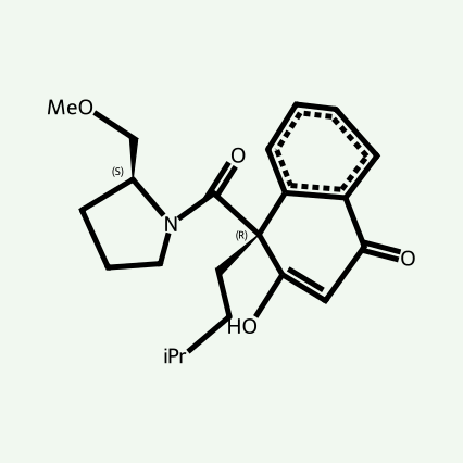 COC[C@@H]1CCCN1C(=O)[C@@]1(CCC(C)C)C(O)=CC(=O)c2ccccc21